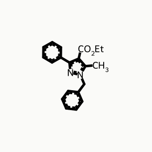 CCOC(=O)c1c(-c2ccccc2)nn(Cc2ccccc2)c1C